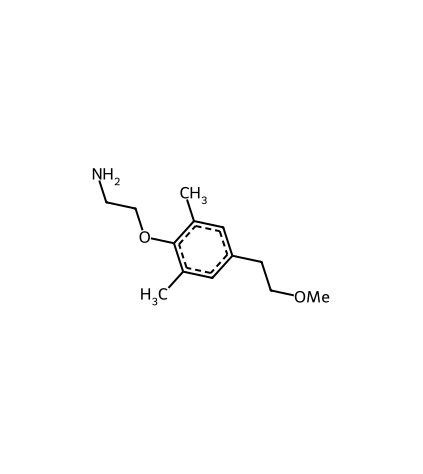 COCCc1cc(C)c(OCCN)c(C)c1